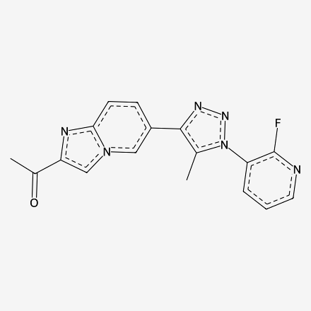 CC(=O)c1cn2cc(-c3nnn(-c4cccnc4F)c3C)ccc2n1